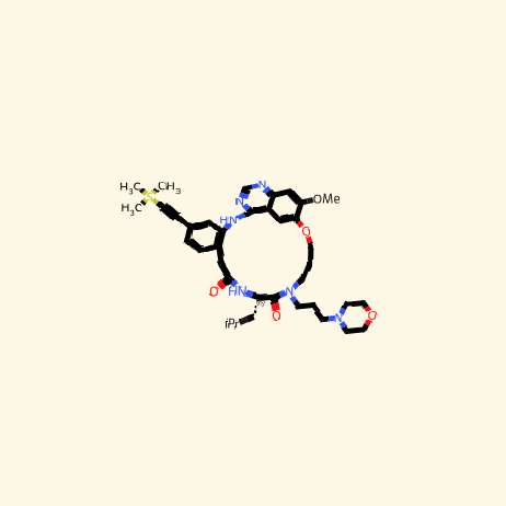 COc1cc2ncnc3c2cc1OCCCN(CCCN1CCOCC1)C(=O)[C@H](CC(C)C)NC(=O)Cc1ccc(C#CS(C)(C)C)cc1N3